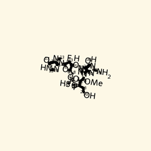 CO[C@H]([C@H](OP(=O)(S)OC[C@H]1O[C@@H](n2cnc3c(=O)[nH]cnc32)[C@@H](F)[C@@H]1O)[C@@H](F)CCO)n1nnc2c(=O)[nH]c(N)nc21